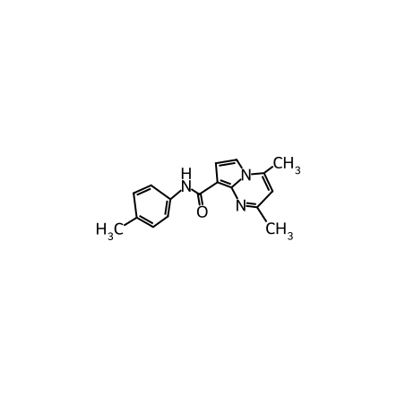 Cc1ccc(NC(=O)c2ccn3c(C)cc(C)nc23)cc1